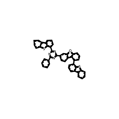 c1ccc(-c2nc(-c3ccc4c(c3)oc3cccc(-c5cccc6c5sc5ccccc56)c34)nc(-c3cccc4c3sc3ccccc34)n2)cc1